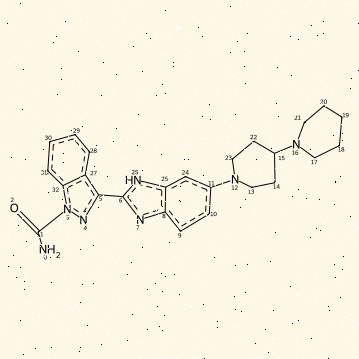 NC(=O)n1nc(-c2nc3ccc(N4CCC(N5CCCCC5)CC4)cc3[nH]2)c2ccc[c]c21